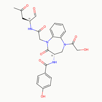 CC(=O)C[C@@H](C=O)NC(=O)CN1C(=O)[C@@H](NC(=O)c2ccc(O)cc2)CN(C(=O)CO)c2ccccc21